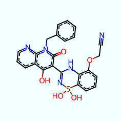 N#CCOc1cccc2c1NC(c1c(O)c3cccnc3n(Cc3ccccc3)c1=O)=NS2(O)O